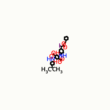 CC(C)c1ccc(Nc2cc(C(=O)O)c(Nc3ccc(C(I)C(=O)OCc4ccccc4)cc3)cc2C(=O)O)cc1